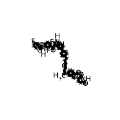 CN(CCOCCCc1ccc(-c2cnc3[nH]cc(C(=O)c4c(F)ccc(NS(=O)(=O)N5CC[C@@H](F)C5)c4F)c3c2)cc1)c1ccc2c(c1)CN(C1CCC(=O)NC1=O)C2=O